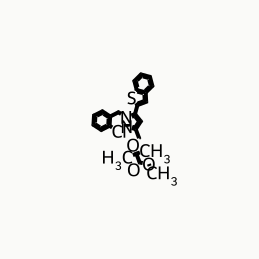 COC(=O)C(C)(C)OCc1cc(-c2cc3ccccc3s2)n(Cc2ccccc2Cl)n1